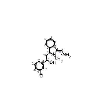 N/C=C1/c2ccccc2C(CC(O)c2cccc(Cl)c2)N1N